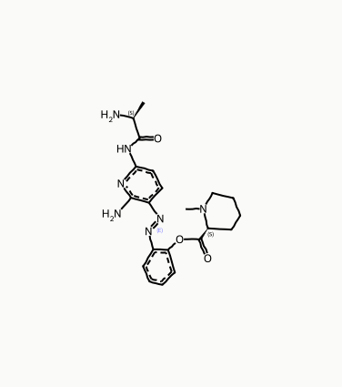 C[C@H](N)C(=O)Nc1ccc(/N=N/c2ccccc2OC(=O)[C@@H]2CCCCN2C)c(N)n1